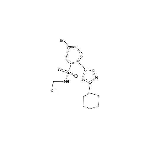 CCNS(=O)(=O)c1cc(Br)ccc1-c1cnc(C2CCCCC2)s1